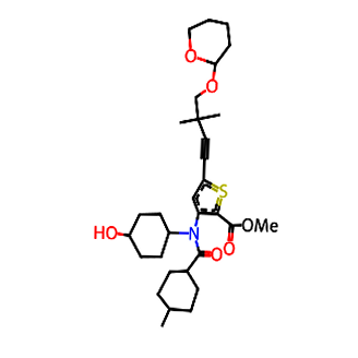 COC(=O)c1sc(C#CC(C)(C)COC2CCCCO2)cc1N(C(=O)C1CCC(C)CC1)C1CCC(O)CC1